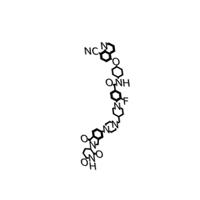 N#Cc1ccc(OC2CCC(NC(=O)c3ccc(N4CCC(CN5CCN(c6ccc7c(c6)CN(C6CCC(=O)NC6=O)C7=O)CC5)CC4)c(F)c3)CC2)c2cccnc12